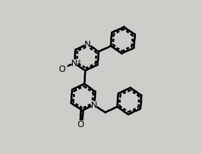 O=c1ccc(-c2cc(-c3ccccc3)nc[n+]2[O-])cn1Cc1ccccc1